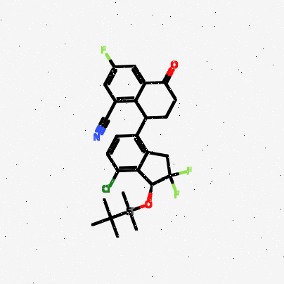 CC(C)(C)[Si](C)(C)O[C@H]1c2c(Cl)ccc(C3CCC(=O)c4cc(F)cc(C#N)c43)c2CC1(F)F